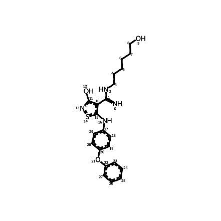 N=C(NCCCCCCO)c1c(O)nsc1Nc1ccc(Oc2ccccc2)cc1